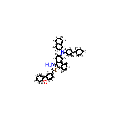 Nc1c(SCc2ccc3oc4ccccc4c3c2)c2ccccc2c2cc(N(c3ccc(-c4ccccc4)cc3)c3ccc4ccccc4c3)ccc12